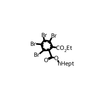 CCCCCCCOC(=O)c1c(Br)c(Br)c(Br)c(Br)c1C(=O)OCC